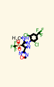 CNc1c(S(=O)(=O)C(F)(F)F)c(-c2ncon2)nn1-c1c(Cl)cc(C(F)(F)F)cc1Cl